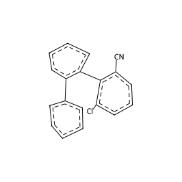 N#Cc1cccc(Cl)c1-c1ccccc1-c1ccccc1